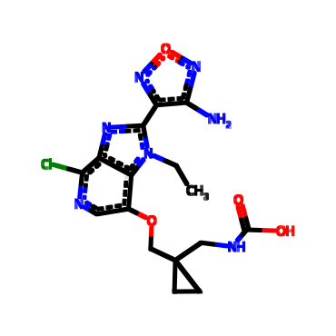 CCn1c(-c2nonc2N)nc2c(Cl)ncc(OCC3(CNC(=O)O)CC3)c21